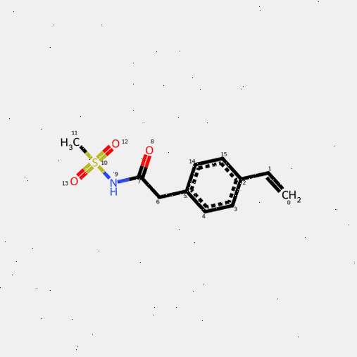 C=Cc1ccc(CC(=O)NS(C)(=O)=O)cc1